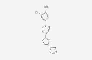 Oc1ccc(-c2ccc(C3=NC(c4cccs4)CC3)cc2)cc1Cl